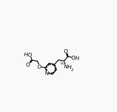 N[C@@H](Cc1ccnc(OCC(=O)O)c1)C(=O)O